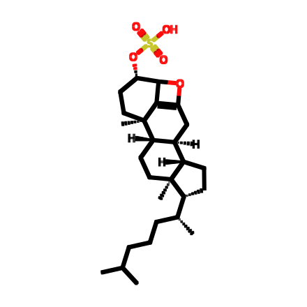 CC(C)CCC[C@@H](C)[C@H]1CC[C@H]2[C@@H]3CC4=C5C(O4)[C@@H](OS(=O)(=O)O)CC[C@]5(C)[C@H]3CC[C@]12C